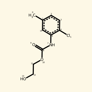 Cc1ccc(Cl)c(NC(=O)OCCO)c1